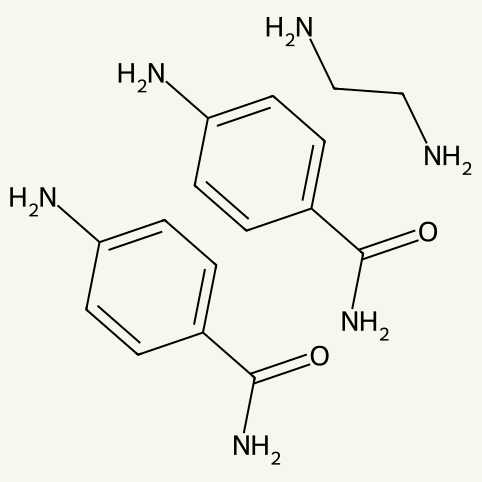 NC(=O)c1ccc(N)cc1.NC(=O)c1ccc(N)cc1.NCCN